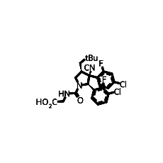 CC(C)(C)C[C@@H]1CN(C(=O)NCC(=O)O)[C@H](c2cccc(Cl)c2F)[C@@]1(C#N)c1ccc(Cl)cc1F